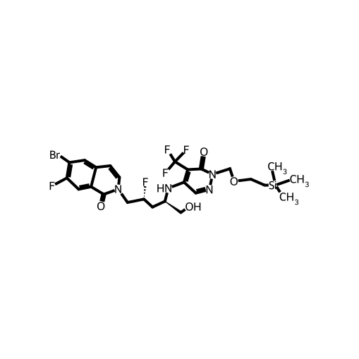 C[Si](C)(C)CCOCn1ncc(N[C@@H](CO)C[C@@H](F)Cn2ccc3cc(Br)c(F)cc3c2=O)c(C(F)(F)F)c1=O